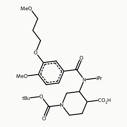 COCCCOc1cc(C(=O)N(C(C)C)C2CN(C(=O)OC(C)(C)C)CCC2C(=O)O)ccc1OC